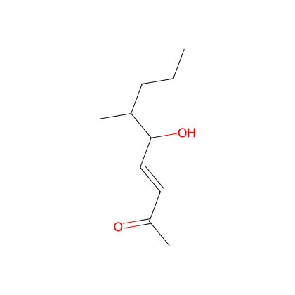 CCCC(C)C(O)C=CC(C)=O